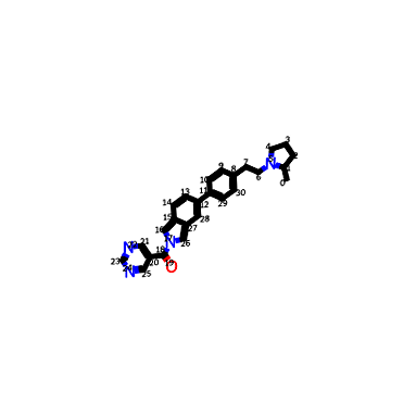 CC1CCCN1CCc1ccc(-c2ccc3cn(C(=O)c4cncnc4)cc3c2)cc1